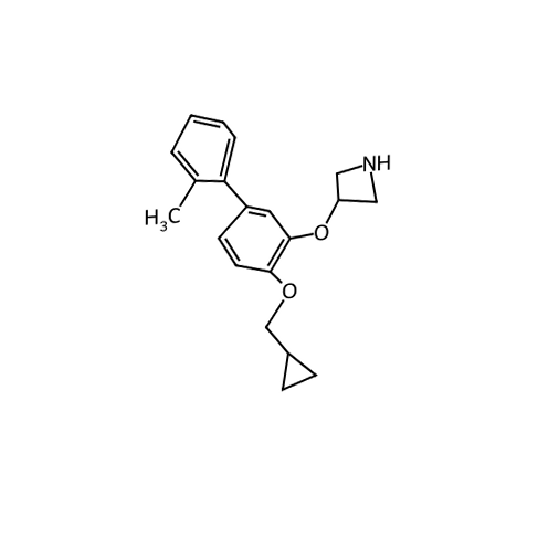 Cc1ccccc1-c1ccc(OCC2CC2)c(OC2CNC2)c1